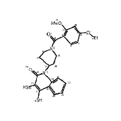 CCOc1ccc(C(=O)N2CCC(n3c(=O)c(S)c(S)c4ccccc43)CC2)c(OC)c1